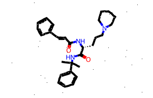 CC(C)(NC(=O)[C@@H](CCCN1CCCCC1)NC(=O)/C=C/c1ccccc1)c1ccccc1